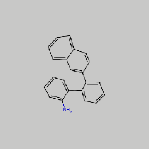 Nc1ccccc1-c1ccccc1-c1ccc2ccccc2c1